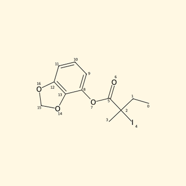 CCC(C)(I)C(=O)Oc1cccc2c1OCO2